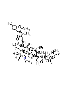 C/C=C/C[C@@H](C)[C@H](O)C(C(=O)N[C@H](CC)C(=O)N(C)CC(=O)N(C)[C@@H](Cc1ccc(O)cc1)C(N)=O)N(C)C(=O)[C@@H](C(C)C)N(C)C(=O)[C@@H](CC(C)C)N(C)C(=O)[C@H](CC(C)C)N(C)C(=O)[C@H](C)NC(=O)[C@@H](C)NC(=O)CN(C)C(=O)C(C)C